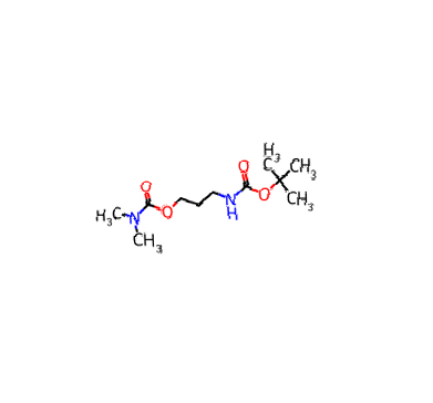 CN(C)C(=O)OCCCNC(=O)OC(C)(C)C